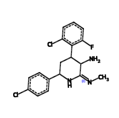 C/N=C1/NC(c2ccc(Cl)cc2)CC(c2c(F)cccc2Cl)C1N